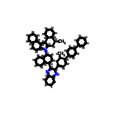 CC1CC(c2nc3ccccc3nc2-c2ccc(-n3c4c(c5c6ccccc6ccc53)-c3ccccc3C(C)C4)c3ccccc23)=CC=C1c1ccc(-c2ccccc2)cc1